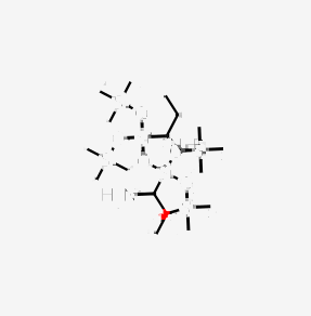 CCC(N)[Si](O[Si](C)(C)C)(O[Si](C)(C)C)O[Si](O[Si](C)(C)C)(O[Si](C)(C)C)C(N)CC